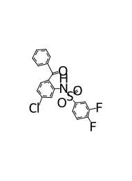 O=C(c1ccccc1)c1ccc(Cl)cc1NS(=O)(=O)c1ccc(F)c(F)c1